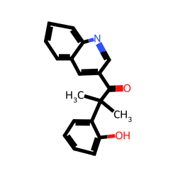 CC(C)(C(=O)c1cnc2ccccc2c1)c1ccccc1O